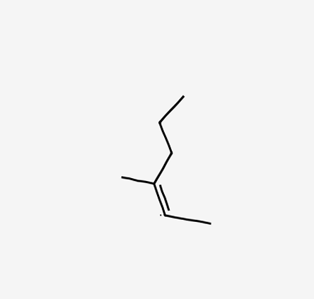 C/[C]=C(/C)CCC